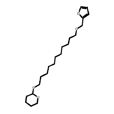 c1coc(COCCCCCCCCCCCOC2CCCCO2)c1